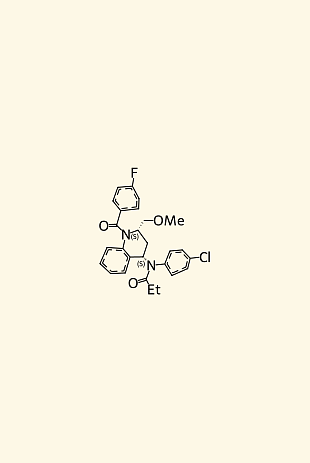 CCC(=O)N(c1ccc(Cl)cc1)[C@H]1C[C@@H](COC)N(C(=O)c2ccc(F)cc2)c2ccccc21